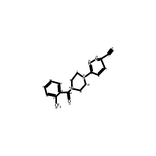 C#Cc1ccc(N2CCN(C(=O)c3ccccc3C(F)(F)F)CC2)nn1